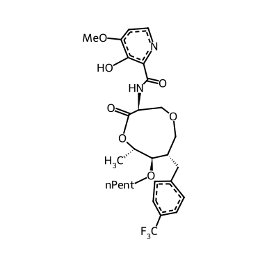 CCCCCO[C@@H]1[C@@H](Cc2ccc(C(F)(F)F)cc2)COC[C@H](NC(=O)c2nccc(OC)c2O)C(=O)O[C@H]1C